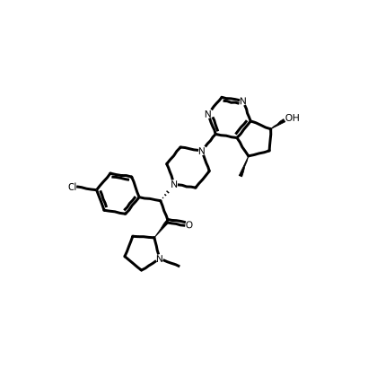 C[C@@H]1C[C@H](O)c2ncnc(N3CCN([C@H](C(=O)[C@@H]4CCCN4C)c4ccc(Cl)cc4)CC3)c21